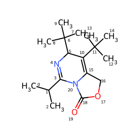 CC(C)C1=NC(C(C)(C)C)C(C(C)(C)C)=C2COC(=O)N12